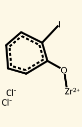 [Cl-].[Cl-].[Zr+2][O]c1ccccc1I